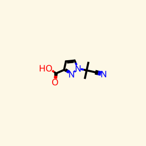 CC(C)(C#N)n1ccc(C(=O)O)n1